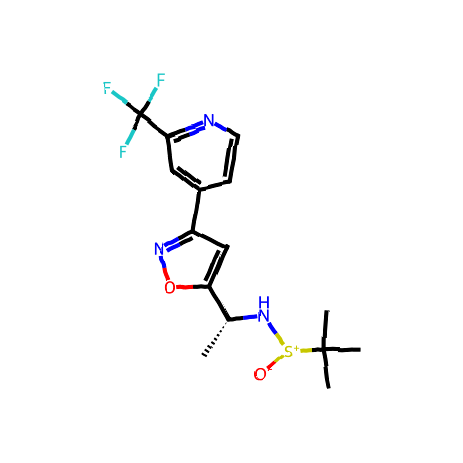 C[C@@H](N[S+]([O-])C(C)(C)C)c1cc(-c2ccnc(C(F)(F)F)c2)no1